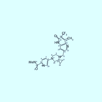 CNC(=O)c1ccc(N2CCN(Cc3cnc4c(C)c(C(F)(F)F)c(=O)[nH]c4c3)C3(CC3)C2)cn1